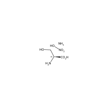 N.N[C@@H](CO)C(=O)O.O=[N+]([O-])O